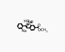 COC(=O)c1ccc(C=Cc2cccc[c]2[Na])c(S(=O)(=O)O)c1